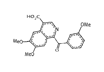 COc1cccc(C(=O)c2ncc(C(=O)O)c3cc(OC)c(OC)cc23)c1